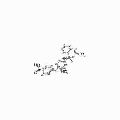 CC(=Cc1ccccc1)[C@@H]1C[C@H]1NC1CCN(Cc2ccc(C(=O)O)cn2)CC1.Cl.Cl